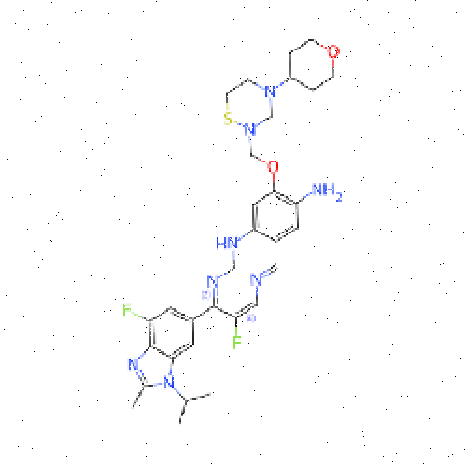 C=N/C=C(F)\C(=N/CNc1ccc(N)c(OCN2CN(C3CCOCC3)CCS2)c1)c1cc(F)c2nc(C)n(C(C)C)c2c1